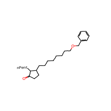 CCCCCC1C(=O)CCC1CCCCCCCCOCc1ccccc1